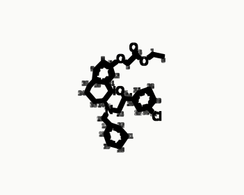 CCOC(=O)COc1ccc2c(c1)C[C@@H](N(Cc1ccccc1)C[C@H](O)c1cccc(Cl)c1)CCC2